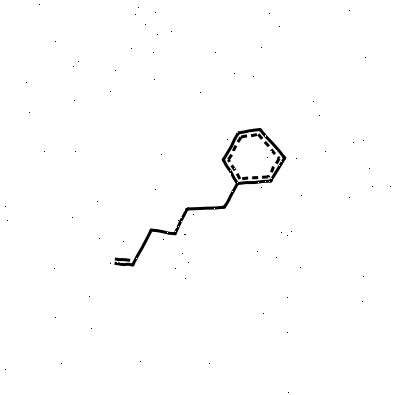 [CH]=CCCCCc1ccccc1